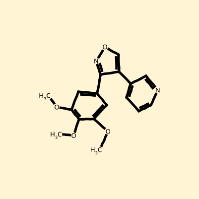 COc1cc(-c2nocc2-c2cccnc2)cc(OC)c1OC